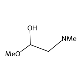 CNCC(O)OC